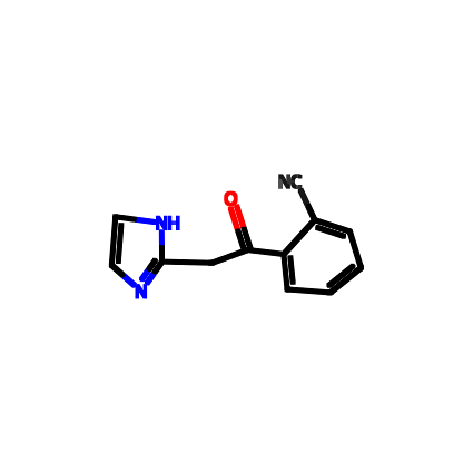 N#Cc1ccccc1C(=O)Cc1ncc[nH]1